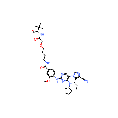 CC[C@@H]1c2c(C#N)ncn2-c2cnc(Nc3ccc(C(=O)NCCCCOCC(=O)N[C@H](C=O)C(C)(C)C)cc3OC)nc2N1C1CCCC1